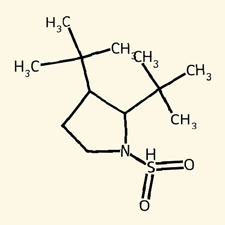 CC(C)(C)C1CCN([SH](=O)=O)C1C(C)(C)C